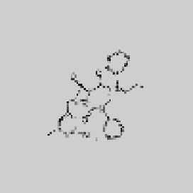 CCC[C@@H](NC(=O)N1C(=O)[C@H](Cc2cc(C)nc(N)c2)[C@H]1C(=O)N(C)c1ccccc1)c1ccccc1